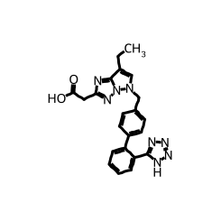 CCc1cn(Cc2ccc(-c3ccccc3-c3nnn[nH]3)cc2)n2nc(CC(=O)O)nc12